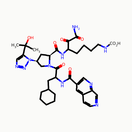 CC(C)(O)c1cnnn1[C@H]1C[C@@H](C(=O)NC(CCCCNC(=O)O)C(=O)C(N)=O)N(C(=O)C(CC2CCCCC2)NC(=O)c2cnc3cnccc3c2)C1